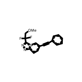 COCC(F)(F)c1nnc2ccc(C#Cc3ccccc3)cn12